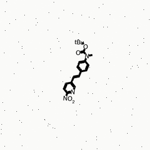 CN(C(=O)OC(C)(C)C)c1ccc(/C=C/c2ccc([N+](=O)[O-])nc2)cc1